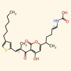 CCCCCCc1csc(/C=C(\C)C(=O)c2c(O)cc(C(C)CC/C=C/NC(=O)O)oc2=O)c1